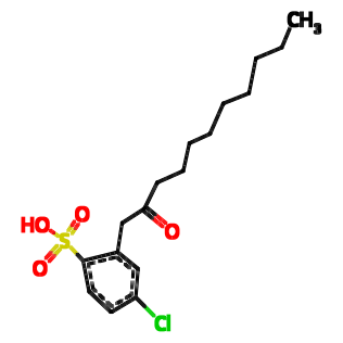 CCCCCCCCCC(=O)Cc1cc(Cl)ccc1S(=O)(=O)O